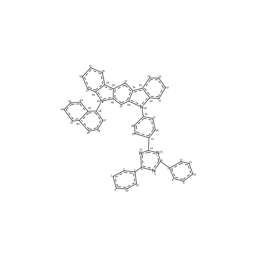 c1ccc(-c2nc(-c3ccccc3)nc(-c3ccc(-n4c5ccccc5c5cc6c7ccccc7n(-c7cccc8ccccc78)c6cc54)cc3)n2)cc1